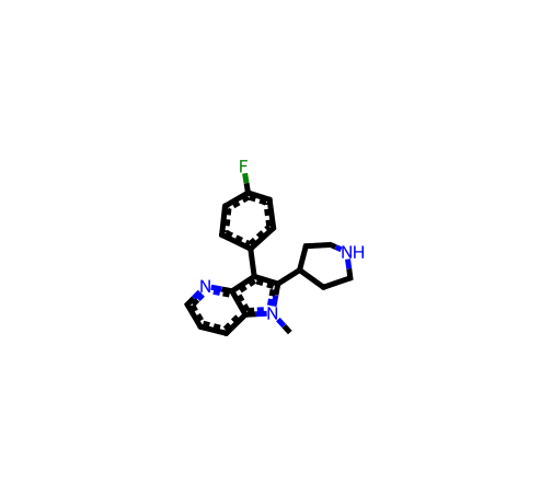 Cn1c(C2CCNCC2)c(-c2ccc(F)cc2)c2ncccc21